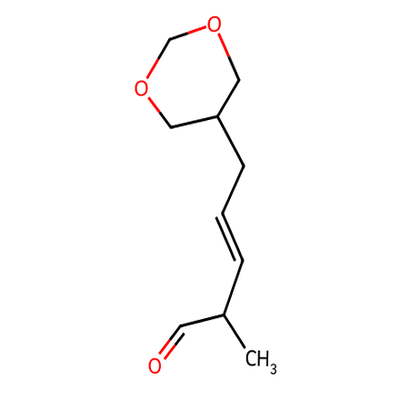 CC(C=O)C=CCC1COCOC1